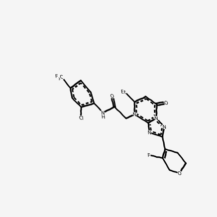 CCc1cc(=O)n2nc(C3=C(F)COCC3)nc2n1CC(=O)Nc1ccc(C(F)(F)F)cc1Cl